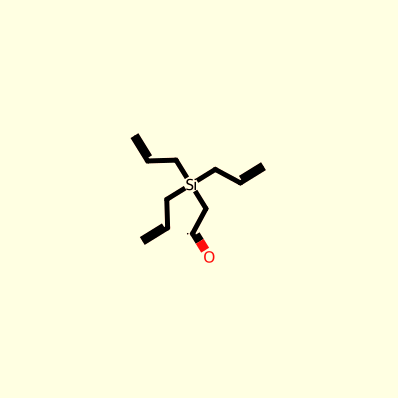 C=CC[Si](C[C]=O)(CC=C)CC=C